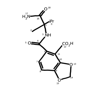 CC(C)C(C)(NC(=O)c1ccc2c(c1C(=O)O)OCO2)C(N)=O